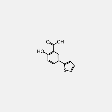 O=C(O)c1cc(-c2cccs2)ccc1O